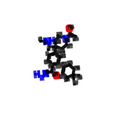 CNCC1(c2ccc(C(N)=O)c(C3=CCC(C)(C)CC3)c2)CCN(C(C)=O)CC1